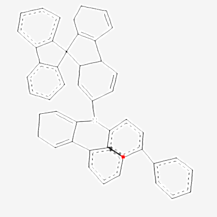 C1=CC2=C(CC1)C1(c3ccccc3-c3ccccc31)C1C=C(N(C3=CCCC=C3c3ccccc3)c3ccc(-c4ccccc4)cc3)C=CC21